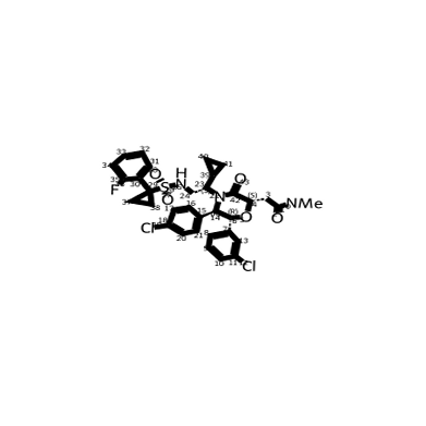 CNC(=O)C[C@@H]1O[C@H](c2cccc(Cl)c2)[C@@H](c2ccc(Cl)cc2)N([C@H](CNS(=O)(=O)C2(c3ccccc3F)CC2)C2CC2)C1=O